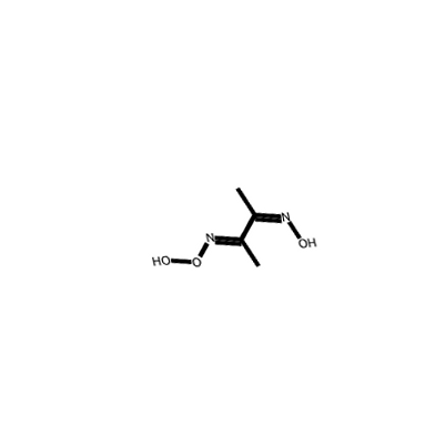 CC(=NO)C(C)=NOO